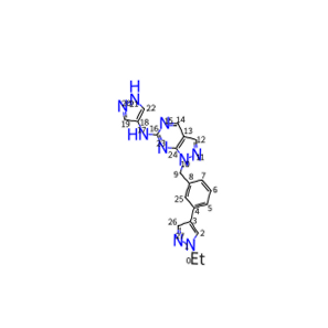 CCn1cc(-c2cccc(Cn3ncc4cnc(Nc5cn[nH]c5)nc43)c2)cn1